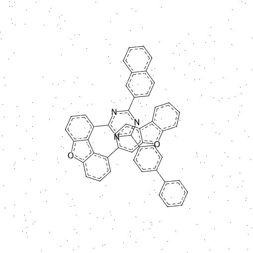 c1ccc(-c2ccc(-c3nc(-c4ccc5ccccc5c4)nc(-c4cccc5oc6cccc(-c7ccc8c(c7)oc7ccccc78)c6c45)n3)cc2)cc1